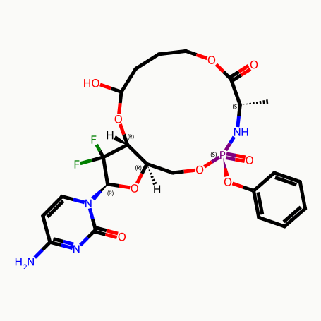 C[C@@H]1N[P@@](=O)(Oc2ccccc2)OC[C@H]2O[C@@H](n3ccc(N)nc3=O)C(F)(F)[C@@H]2OC(O)CCCOC1=O